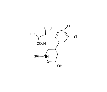 CC(C)(C)NCC(CC(O)=S)c1ccc(Cl)c(Cl)c1.O=C(O)CC(O)C(=O)O